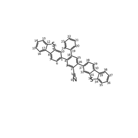 N#Cc1cc(-c2ccc3c(c2)sc2ccccc23)c(-c2ccccc2)cc1-c1ccc2c(c1)sc1ccccc12